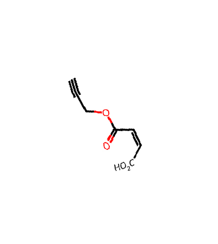 C#CCOC(=O)/C=C\C(=O)O